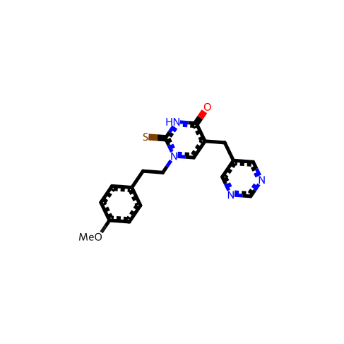 COc1ccc(CCn2cc(Cc3cncnc3)c(=O)[nH]c2=S)cc1